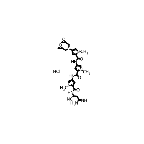 Cl.Cn1cc(NC(=O)c2cc(N(CC3CO3)CC3CO3)cn2C)cc1C(=O)Nc1cc(C(=O)NC(C#N)CC(=N)N)n(C)c1